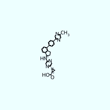 Cc1cnc(-c2ccc(-c3cccc4c3CC[C@H]4Nc3cnc([C@@H]4C[C@H]4C(=O)O)cn3)cc2)cn1